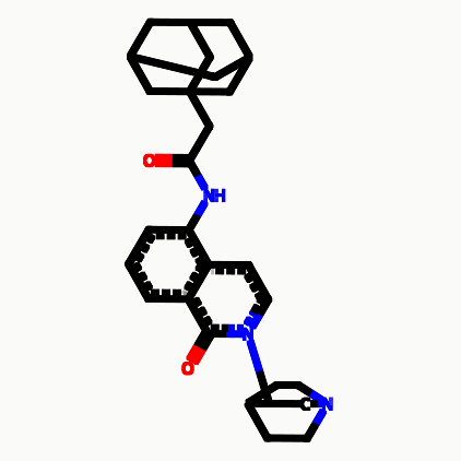 O=C(CC12CC3CC(CC(C3)C1)C2)Nc1cccc2c(=O)n(C3CN4CCC3CC4)ccc12